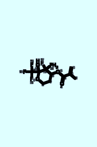 C=C(C)C(=O)OC1CCOC(O)(C(F)(F)F)C1(F)P